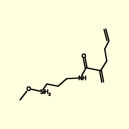 C=CCCC(=C)C(=O)NCCC[SiH2]OC